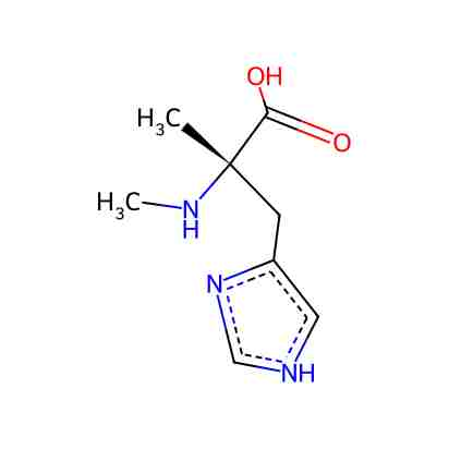 CN[C@@](C)(Cc1c[nH]cn1)C(=O)O